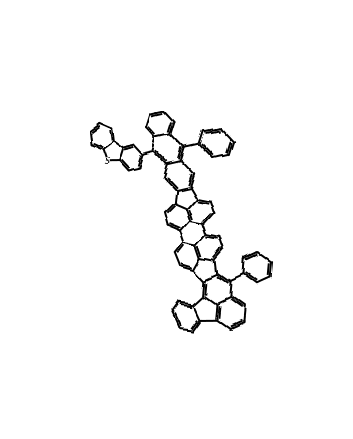 c1ccc(-c2c3ccccc3c(-c3ccc4sc5ccccc5c4c3)c3cc4c(cc23)-c2ccc3c5ccc6c7c(-c8ccccc8)c8cccc9c%10ccccc%10c(c89)c7c7ccc(c8ccc-4c2c38)c5c67)cc1